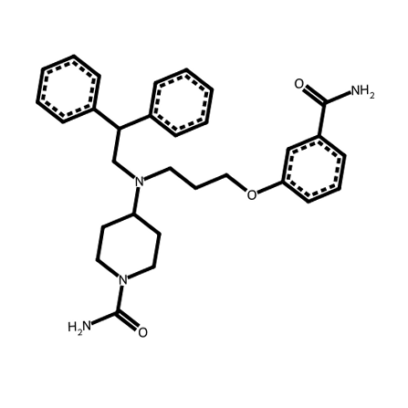 NC(=O)c1cccc(OCCCN(CC(c2ccccc2)c2ccccc2)C2CCN(C(N)=O)CC2)c1